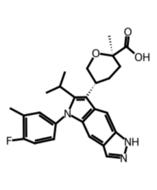 Cc1cc(-n2c(C(C)C)c([C@H]3CC[C@](C)(C(=O)O)OC3)c3cc4[nH]ncc4cc32)ccc1F